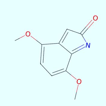 COc1ccc(OC)c2c1=CC(=O)N=2